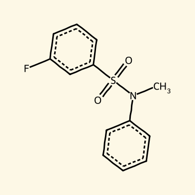 CN(c1ccccc1)S(=O)(=O)c1cccc(F)c1